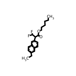 CCCCCCOC(=O)C(c1ccc2cc(CC)ccc2c1)C(F)F